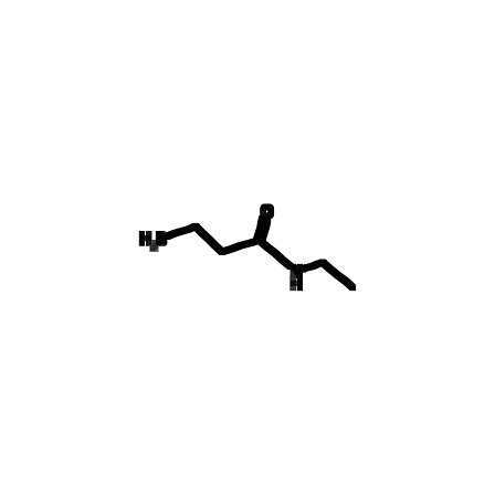 BCCC(=O)NCC